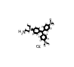 CC[N+](CCN)=C1C=CC(=C(c2ccc(N(C)C)cc2)c2ccc(N(C)C)cc2)C=C1.[Cl-]